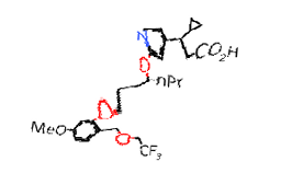 CCC[C@H](CCCOc1cc(OC)ccc1COCC(F)(F)F)Oc1cc(C(CC(=O)O)C2CC2)ccn1